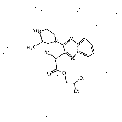 CCC(CC)COC(=O)C(C#N)c1nc2ccccc2nc1N1CCNC(C)C1